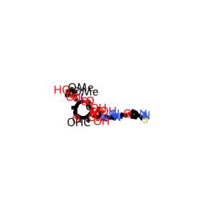 COC1C(OC[C@H]2/C=C(C)/C=C/C(=O)[C@H](C)C[C@H](CC=O)[C@H](OC3OC(C)C(O)C(N(C)CCc4cn(CCCOc5ccc(-c6csnn6)cc5)nn4)C3O)[C@@H](C)[C@H](O)CC(=O)O[C@@H]2I)OC(C)C(O)C1OC